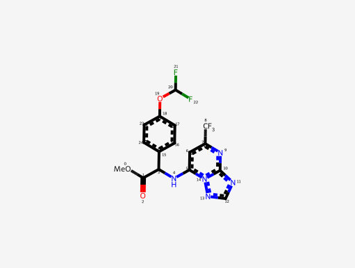 COC(=O)C(Nc1cc(C(F)(F)F)nc2ncnn12)c1ccc(OC(F)F)cc1